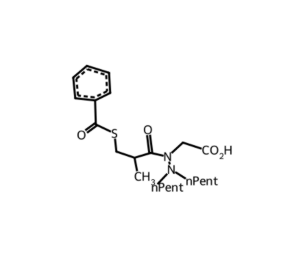 CCCCCN(CCCCC)N(CC(=O)O)C(=O)C(C)CSC(=O)c1ccccc1